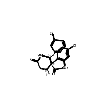 CC(C)[C@H]1CC(=S)N[C@@H](c2cccc(Cl)c2)[C@@]12C(=O)Nc1cc(Cl)ccc12